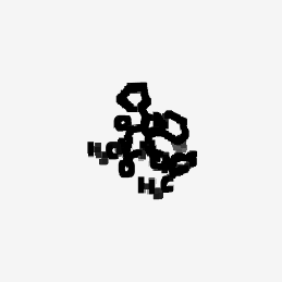 Cc1csc([C@H]2CCCn3c(-c4ccccc4)c4c(=O)n(C)c(=O)n(C)c4c32)n1